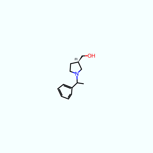 CC(c1ccccc1)N1CC[C@@H](CO)C1